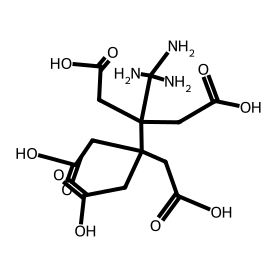 NC(N)(N)C(CC(=O)O)(CC(=O)O)C(CC(=O)O)(CC(=O)O)CC(=O)O